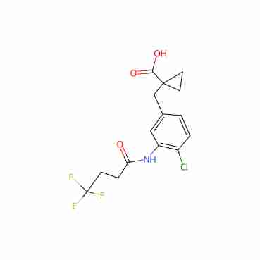 O=C(CCC(F)(F)F)Nc1cc(CC2(C(=O)O)CC2)ccc1Cl